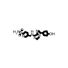 NS(=O)(=O)c1ccc(CNc2nccn3c(-c4ccc(O)cc4)cnc23)cn1